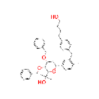 Cc1ccc([C@H]2C[C@@H](OCc3ccccc3)[C@H](OCc3ccccc3)C(C(C)(C)O)O2)cc1Cc1ccc(CCCCO)cc1